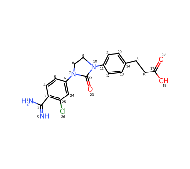 N=C(N)c1ccc(N2CCN(c3ccc(CCC(=O)O)cc3)C2=O)cc1Cl